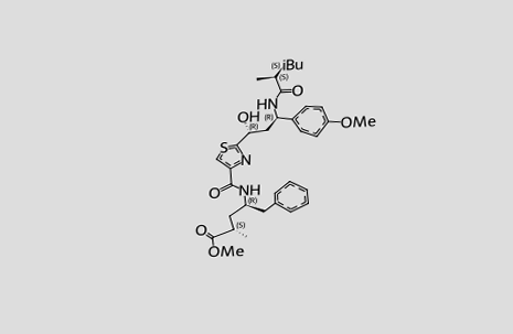 CC[C@H](C)[C@H](C)C(=O)N[C@H](C[C@@H](O)c1nc(C(=O)N[C@@H](Cc2ccccc2)C[C@H](C)C(=O)OC)cs1)c1ccc(OC)cc1